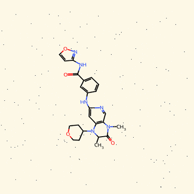 CC1C(=O)N(C)c2cnc(Nc3cccc(C(=O)Nc4ccon4)c3)cc2N1C1CCOCC1